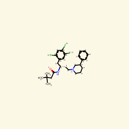 CC(C)(C)CC(=O)N[C@@H](CCN1CCCC(c2ccccc2)C1)Cc1cc(F)c(F)cc1F